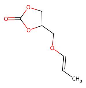 C/C=C/OCC1COC(=O)O1